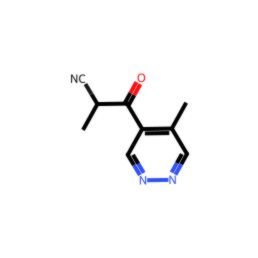 Cc1cnncc1C(=O)C(C)C#N